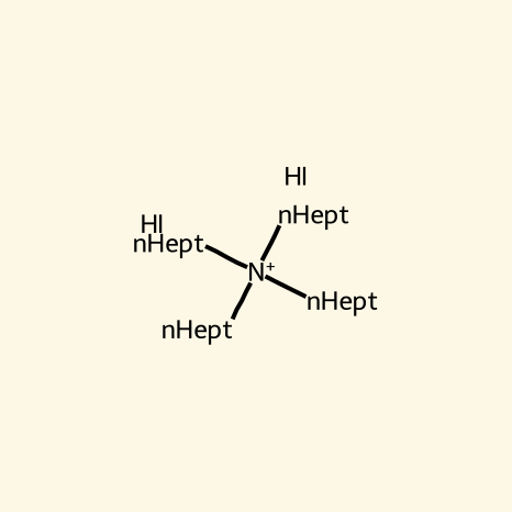 CCCCCCC[N+](CCCCCCC)(CCCCCCC)CCCCCCC.I.I